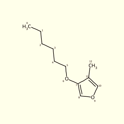 CCCCCCOc1cocc1C